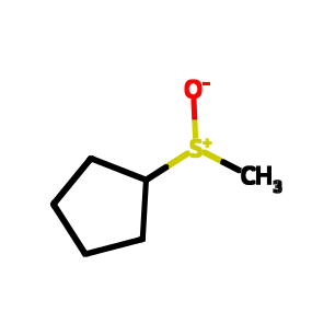 C[S+]([O-])C1CCCC1